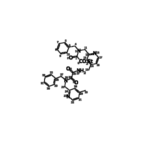 CCOC(=O)C(=O)N(Cc1ccccc1)Cc1cc(C)ccn1.Cc1ccnc(CN(Cc2ccccc2)C(=O)C(N)=O)c1